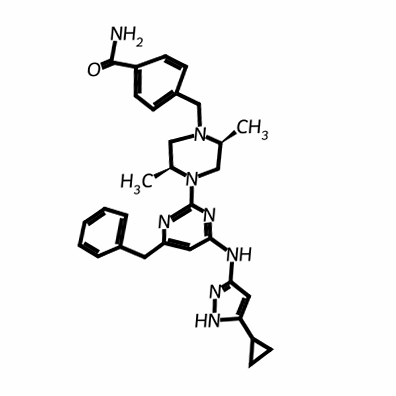 C[C@H]1CN(c2nc(Cc3ccccc3)cc(Nc3cc(C4CC4)[nH]n3)n2)[C@@H](C)CN1Cc1ccc(C(N)=O)cc1